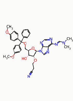 COc1ccc(C(OC[C@H]2O[C@@H](n3cnc4c(N=CN(C)C)ncnc43)[C@H](OCCC#N)[C@@H]2O)(c2ccccc2)c2ccc(OC)cc2)cc1